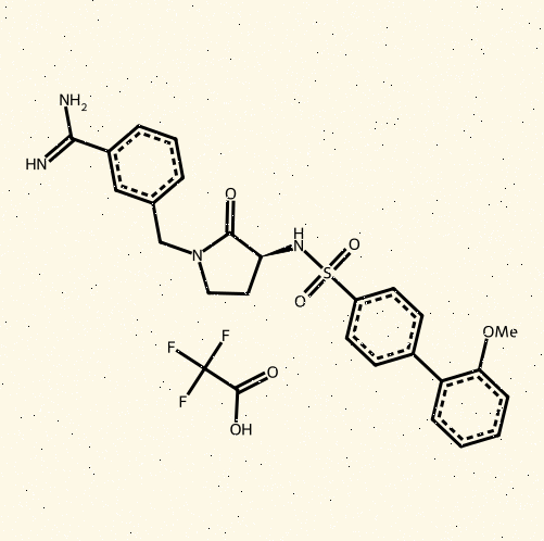 COc1ccccc1-c1ccc(S(=O)(=O)N[C@H]2CCN(Cc3cccc(C(=N)N)c3)C2=O)cc1.O=C(O)C(F)(F)F